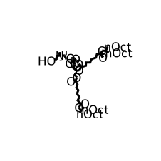 CCCCCCCCC(CCCCCCCC)OC(=O)CCCCCCC(=O)OC[C@@H](COP(=O)([O-])OCC[N+](C)(C)CCO)OC(=O)CCCCCCC(=O)OC(CCCCCCCC)CCCCCCCC